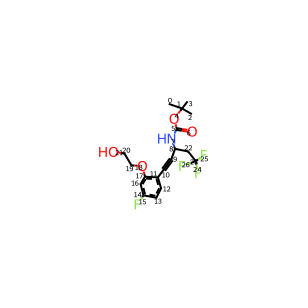 CC(C)(C)OC(=O)NC(C#Cc1ccc(F)cc1OCCO)CC(F)(F)F